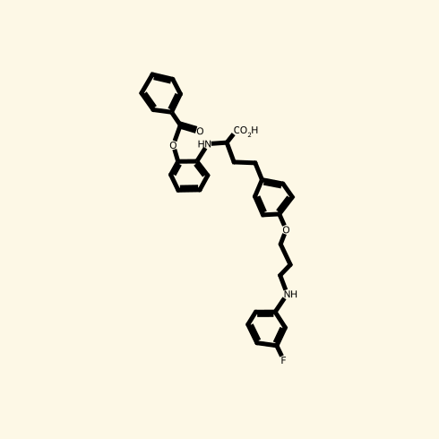 O=C(Oc1ccccc1NC(CCc1ccc(OCCCNc2cccc(F)c2)cc1)C(=O)O)c1ccccc1